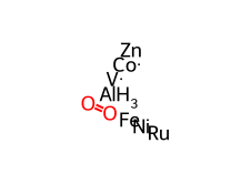 O=O.[AlH3].[Co].[Fe].[Ni].[Ru].[V].[Zn]